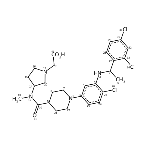 CC(Nc1cc(N2CCC(C(=O)N(C)C3CCN(CC(=O)O)C3)CC2)ccc1Cl)c1ccc(Cl)cc1Cl